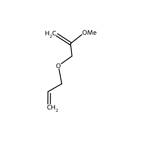 C=CCOCC(=C)OC